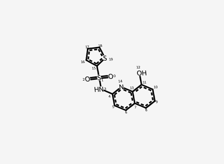 O=S(=O)(Nc1ccc2cccc(O)c2n1)c1cccs1